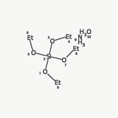 CCO[Si](OCC)(OCC)OCC.N.O